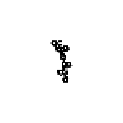 c1ccc(C2CCN(c3ccc(-c4ccc(-n5c6ccccc6c6c7sc8ccccc8c7ccc65)cc4)c4ccccc34)c3ccccc32)cc1